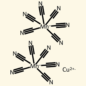 N#[C][Mn-]([C]#N)([C]#N)([C]#N)([C]#N)[C]#N.N#[C][Mn-]([C]#N)([C]#N)([C]#N)([C]#N)[C]#N.[Cu+2]